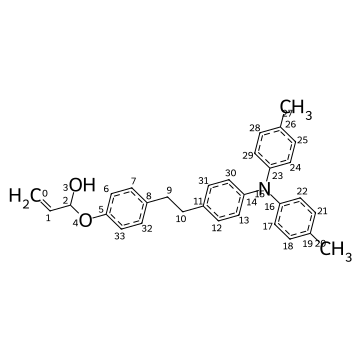 C=CC(O)Oc1ccc(CCc2ccc(N(c3ccc(C)cc3)c3ccc(C)cc3)cc2)cc1